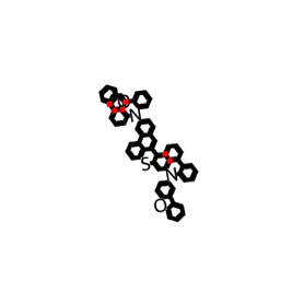 c1ccc(-c2ccccc2N(c2ccc3c(c2)Sc2cccc4c2c-3cc2ccc(N(c3ccccc3-c3ccccc3)c3cccc5c3oc3ccccc35)cc24)c2ccc3oc4ccccc4c3c2)cc1